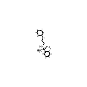 CC(C)(NCCOc1ccccc1)c1ccccc1